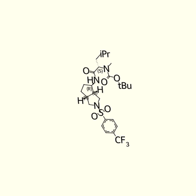 CC(C)C[C@@H](C(=O)N[C@@H]1CC[C@H]2CN(S(=O)(=O)c3ccc(C(F)(F)F)cc3)C[C@H]21)N(C)C(=O)OC(C)(C)C